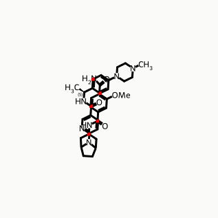 COc1cc(C(=O)NC2CC3CCC(C2)N3c2ccc(C(=O)N[C@@H](C)c3ccc(N4CCN(C)CC4)cc3)cn2)ccc1C(N)=O